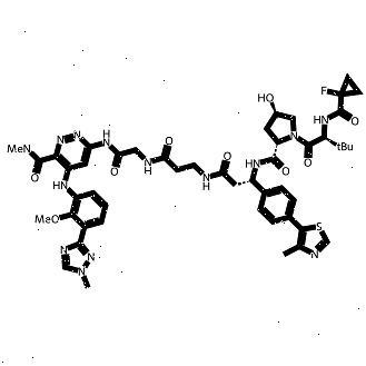 CNC(=O)c1nnc(NC(=O)CNC(=O)CCNC(=O)C[C@H](NC(=O)[C@@H]2C[C@@H](O)CN2C(=O)[C@@H](NC(=O)C2(F)CC2)C(C)(C)C)c2ccc(-c3scnc3C)cc2)cc1Nc1cccc(-c2ncn(C)n2)c1OC